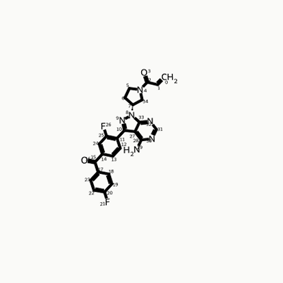 C=CC(=O)N1CC[C@@H](n2nc(-c3ccc(C(=O)c4ccc(F)cc4)cc3F)c3c(N)ncnc32)C1